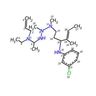 C=CCN(CC)C(C)NN(C)N(C)CCC(Nc1cccc(Cl)c1)/C(C)=C/C